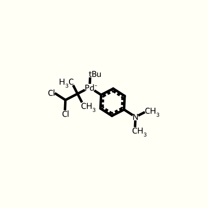 CN(C)c1cc[c]([Pd-]([C](C)(C)C)[C](C)(C)C(Cl)Cl)cc1